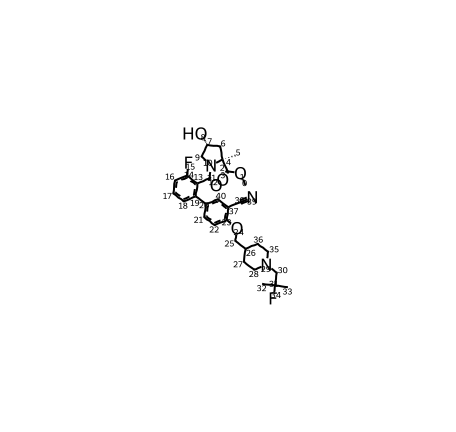 COC(=O)[C@]1(C)C[C@@H](O)CN1C(=O)c1c(F)cccc1-c1ccc(OCC2CCN(CC(C)(C)F)CC2)c(C#N)c1